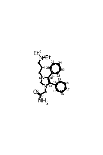 CCN(CC)CCCN1CN(CC(N)=O)C(c2ccccc2)=C1c1ccccc1